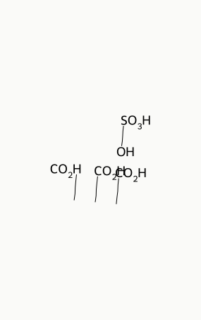 CC(=O)O.CC(=O)O.CC(=O)O.O=S(=O)(O)O